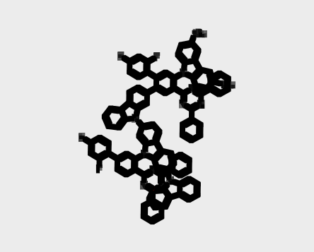 CC(C)(C)c1ccc2c(c1)c1cc(C(C)(C)C)ccc1n2-c1cc(-c2ccc(F)cc2F)c(-c2ccc3c4ccccc4n(-c4ccc5c6ccc(-n7c8ccccc8c8ccccc87)cc6n(-c6cc(-c7ccc(F)cc7F)ccc6-c6nc(-c7ccccc7)nc(-c7ccccc7)n6)c5c4)c3c2)cc1-c1nc(-c2ccccc2)nc(-c2ccccc2)n1